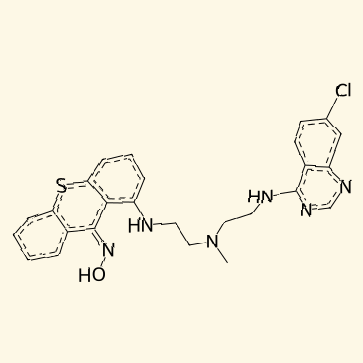 CN(CCNc1ncnc2cc(Cl)ccc12)CCNc1cccc2sc3ccccc3c(=NO)c12